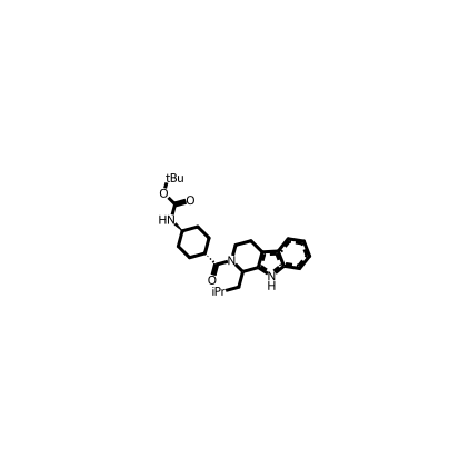 CC(C)CC1c2[nH]c3ccccc3c2CCN1C(=O)[C@H]1CC[C@H](NC(=O)OC(C)(C)C)CC1